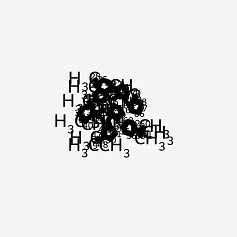 Cc1cccc2c1N(c1cc3c4c(c1)N(c1ccc5c(c1)C(C)(C)CCC5(C)C)c1c(sc5c1C(C)(C)CCC5(C)C)B4c1cc(C(C)(C)C)ccc1N3c1ccc(C(C)(C)C)cc1)c1ccccc1S2